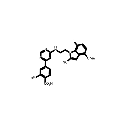 CCCc1cc(-c2cc(NCCn3c(C#N)cc4c(OC)ccc(F)c43)ncn2)ccc1C(=O)O